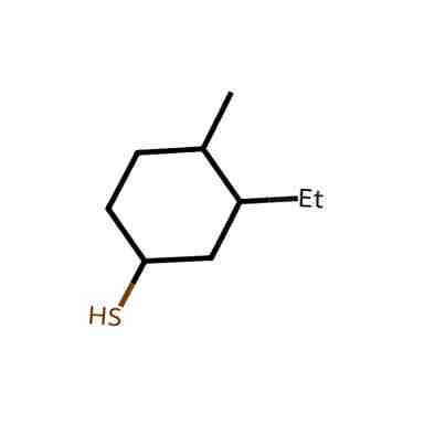 CCC1CC(S)CCC1C